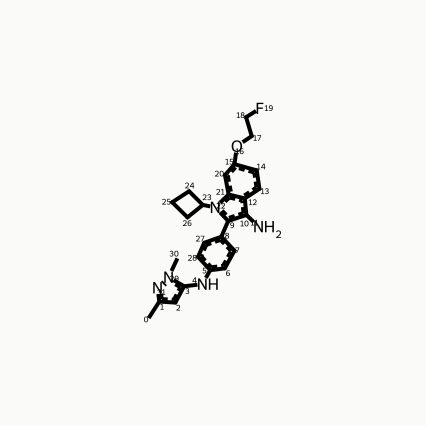 Cc1cc(Nc2ccc(-c3c(N)c4ccc(OCCF)cc4n3C3CCC3)cc2)n(C)n1